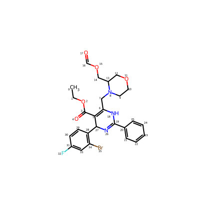 CCOC(=O)C1=C(CN2CCOCC2COC=O)NC(c2ccccc2)=NC1c1ccc(F)cc1Br